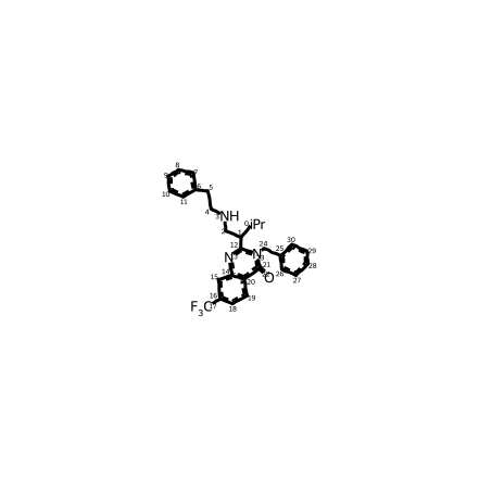 CC(C)C(CNCCc1ccccc1)c1nc2cc(C(F)(F)F)ccc2c(=O)n1Cc1ccccc1